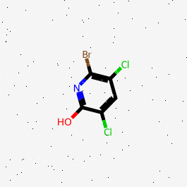 Oc1nc(Br)c(Cl)cc1Cl